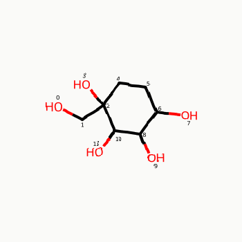 OCC1(O)CCC(O)C(O)C1O